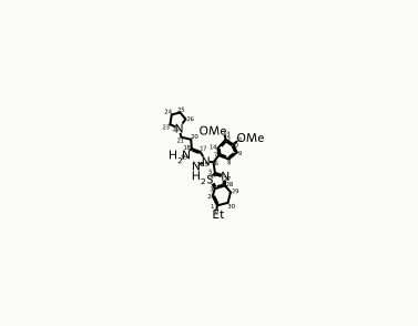 CCC1=Cc2sc(C(c3ccc(OC)c(OC)c3)N(N)/C=C(\N)CCN3CCCC3)nc2CC1